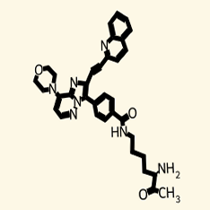 CC(=O)[C@@H](N)CCCCNC(=O)c1ccc(-c2c(C#Cc3ccc4ccccc4n3)nc3c(N4CCOCC4)ccnn23)cc1